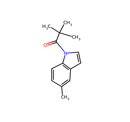 Cc1ccc2c(ccn2C(=O)C(C)(C)C)c1